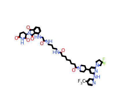 O=C(CCCCCCC(=O)N1CCC(c2cc(Nc3cc(C(F)(F)F)ccn3)nc(N3CCC(F)(F)C3)c2)CC1)NCCCCNC(=O)CNc1cccc2c1C(=O)N(C1CCC(=O)NC1=O)C2=O